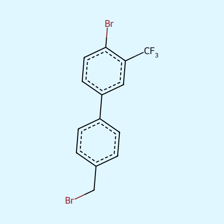 FC(F)(F)c1cc(-c2ccc(CBr)cc2)ccc1Br